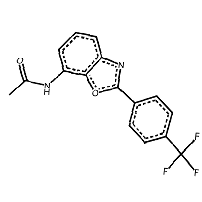 CC(=O)Nc1cccc2nc(-c3ccc(C(F)(F)F)cc3)oc12